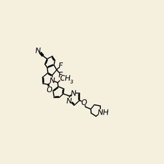 CC(c1cccc(-c2ncc(OCC3CCNCC3)cn2)c1)n1c2c(ccc1=O)-c1cc(C#N)ccc1C2(F)F